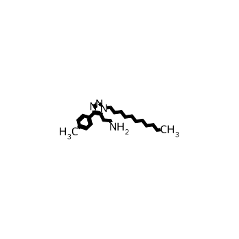 CCCCCCCCCCCn1nnc(-c2ccc(C)cc2)c1CCN